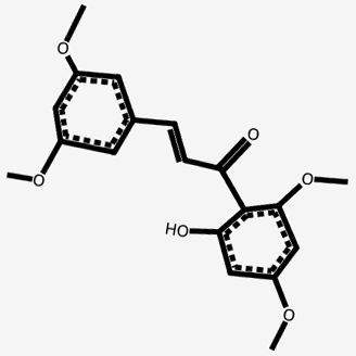 COc1cc(C=CC(=O)c2c(O)cc(OC)cc2OC)cc(OC)c1